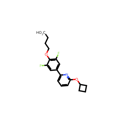 O=C(O)CCCOc1c(F)cc(-c2cccc(OC3CCC3)n2)cc1F